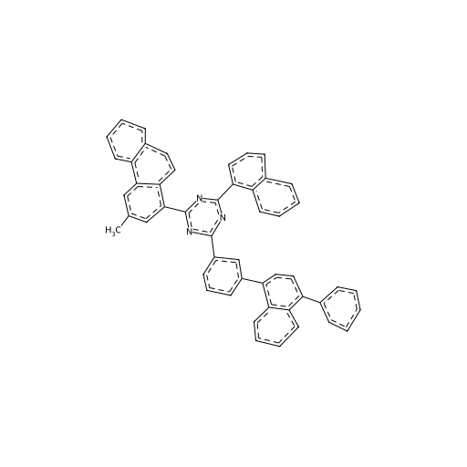 Cc1cc(-c2nc(-c3cccc(-c4ccc(-c5ccccc5)c5ccccc45)c3)nc(-c3cccc4ccccc34)n2)c2ccc3ccccc3c2c1